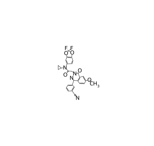 COc1ccc2c(-c3cccc(C#N)c3)nn(CC(=O)N(c3ccc4c(c3)OC(F)(F)O4)C3CC3)c(=O)c2c1